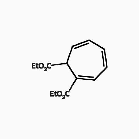 CCOC(=O)C1=CC=CC=CC1C(=O)OCC